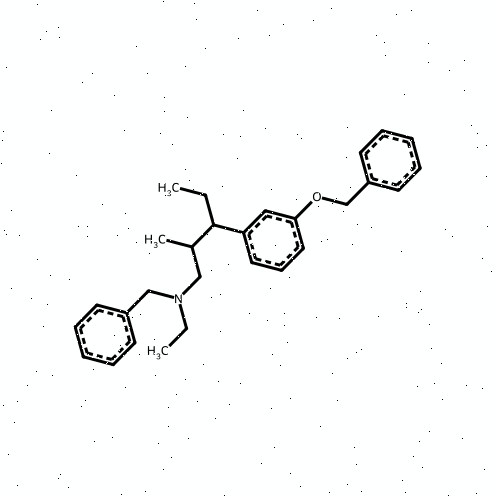 CCC(c1cccc(OCc2ccccc2)c1)C(C)CN(CC)Cc1ccccc1